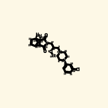 CCOC(CN1CCN(c2cccc(Cl)c2)CC1)CN1C(=O)C2C3C=C[C@@H](C3)[C@@H]2C1=O